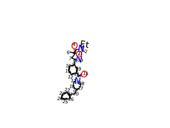 CCN(C)C(=O)C1(C)CC(c2cccc(C(=O)N3CCC(Cc4ccccc4)CC3)c2)=NO1